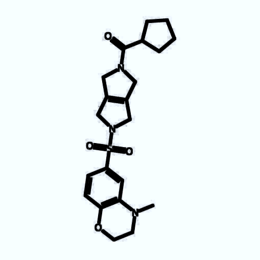 CN1CCOc2ccc(S(=O)(=O)N3CC4=C(CN(C(=O)C5CCCC5)C4)C3)cc21